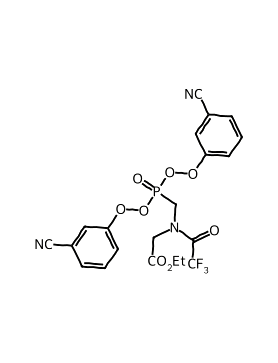 CCOC(=O)CN(CP(=O)(OOc1cccc(C#N)c1)OOc1cccc(C#N)c1)C(=O)C(F)(F)F